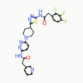 O=C(Cc1cccnc1)Nc1ccc(N2CCC(c3nnc(NC(=O)Cc4ccc(F)c(F)c4F)s3)CC2)nn1